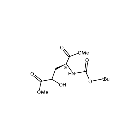 COC(=O)C(O)C[C@H](NC(=O)OC(C)(C)C)C(=O)OC